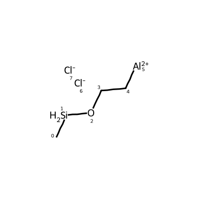 C[SiH2]OC[CH2][Al+2].[Cl-].[Cl-]